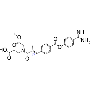 CCOC(=O)CN(CCC(=O)O)C(=O)/C(C)=C/c1ccc(C(=O)Oc2ccc(C(=N)N)cc2)cc1